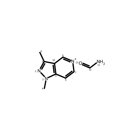 Cc1nn(C)c2ccncc12.NC=O